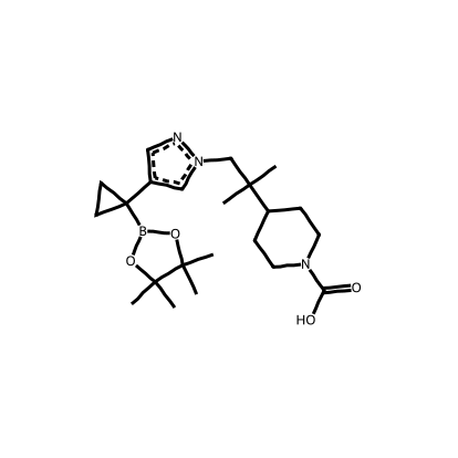 CC(C)(Cn1cc(C2(B3OC(C)(C)C(C)(C)O3)CC2)cn1)C1CCN(C(=O)O)CC1